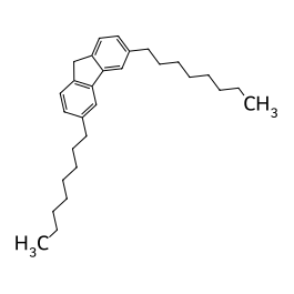 CCCCCCCCc1ccc2c(c1)-c1cc(CCCCCCCC)ccc1C2